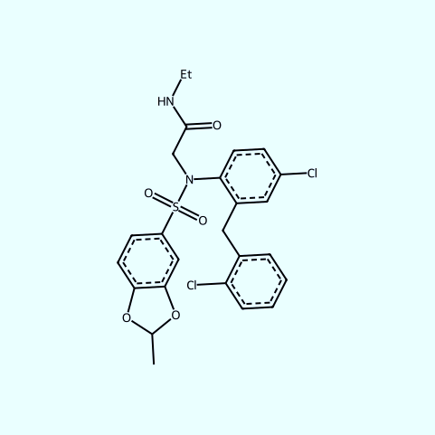 CCNC(=O)CN(c1ccc(Cl)cc1Cc1ccccc1Cl)S(=O)(=O)c1ccc2c(c1)OC(C)O2